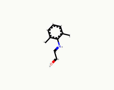 Cc1cccc(C)c1N=CC=O